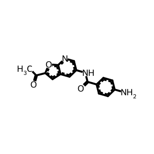 CC(=O)c1cc2cc(NC(=O)c3ccc(N)cc3)cnc2o1